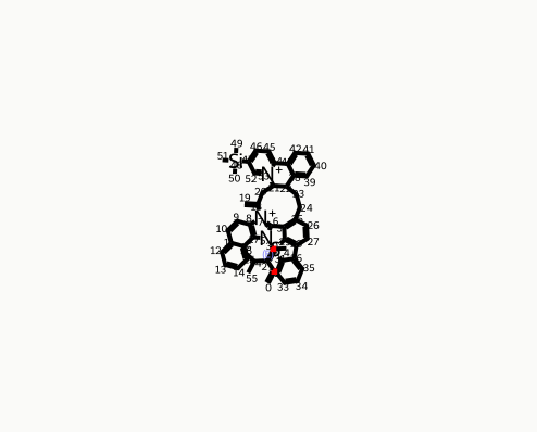 C=C/C(=C(\C)n1c2[n+](c3ccc4ccccc4c31)C(=C)CC1C(CCc3ccc4c(sc5ccccc54)c3-2)c2ccccc2-c2ccc([Si](C)(C)C)c[n+]21)C(C)C